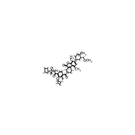 COC[C@H]1CN(c2cc(C)c3c4c(c(=O)oc3c2C)CN(C(=O)c2ccc(C(=O)NS(=O)(=O)N3CCCC3)c(OC3CCC3)c2F)CC4)CCN1C